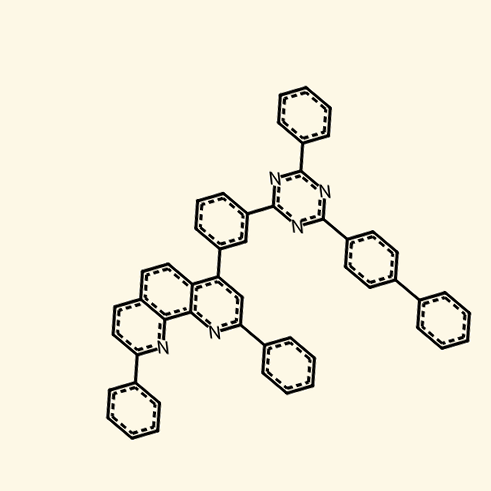 c1ccc(-c2ccc(-c3nc(-c4ccccc4)nc(-c4cccc(-c5cc(-c6ccccc6)nc6c5ccc5ccc(-c7ccccc7)nc56)c4)n3)cc2)cc1